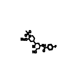 CCC([CH]C(CCO)NC(=O)c1ccc(F)cc1)C1CCN(S(C)(=O)=O)C(OC)C1